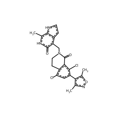 Cc1noc(C)c1-c1cc(Cl)c2c(c1Cl)C(=O)N(Cc1c(=O)[nH]c(C)c3[nH]ccc13)CC2